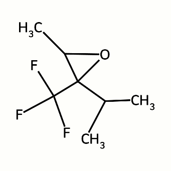 CC(C)C1(C(F)(F)F)OC1C